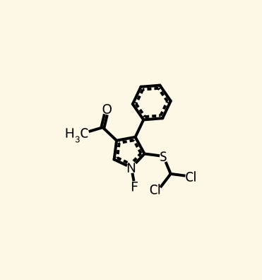 CC(=O)c1cn(F)c(SC(Cl)Cl)c1-c1ccccc1